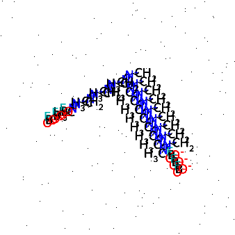 C=CC[n+]1ccn(C)c1.C=CC[n+]1ccn(C)c1.C=CC[n+]1ccn(C)c1.C=CC[n+]1ccn(C)c1.C=CC[n+]1ccn(C)c1.C=CC[n+]1ccn(C)c1.C=CC[n+]1ccn(C)c1.C=CC[n+]1ccn(C)c1.C=CC[n+]1ccn(C)c1.C=CC[n+]1ccn(C)c1.C=CC[n+]1ccn(C)c1.C=CC[n+]1ccn(C)c1.[O-]B([O-])F.[O-]B([O-])F.[O-]B([O-])F.[O-]B([O-])F.[O-]B([O-])F.[O-]B([O-])F